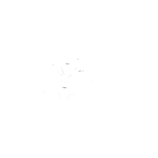 COc1cc(C2C(C)C(C(=O)O)N=C3C(Br)=CC(Br)=C(C)N32)ccc1O